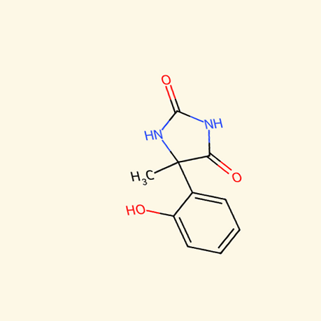 CC1(c2ccccc2O)NC(=O)NC1=O